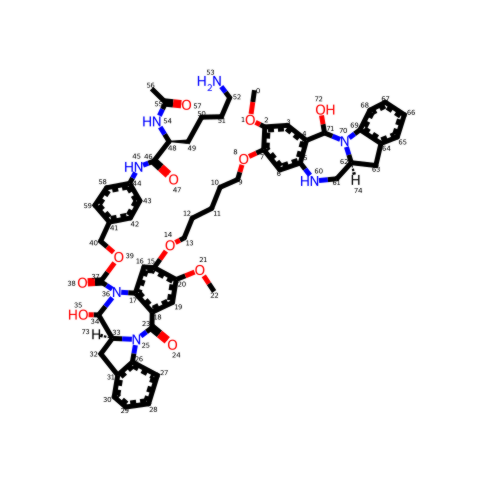 COc1cc2c(cc1OCCCCCOc1cc3c(cc1OC)C(=O)N1c4ccccc4C[C@H]1C(O)N3C(=O)OCc1ccc(NC(=O)[C@H](CCCCN)NC(C)=O)cc1)NC[C@@H]1Cc3ccccc3N1C2O